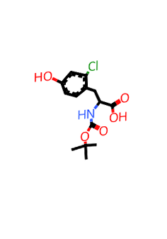 CC(C)(C)OC(=O)NC(Cc1ccc(O)cc1Cl)C(=O)O